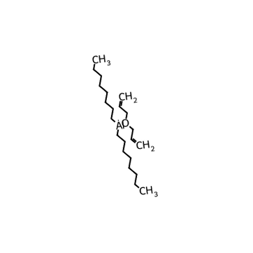 C=CCOCC=C.CCCCCCC[CH2][Al][CH2]CCCCCCC